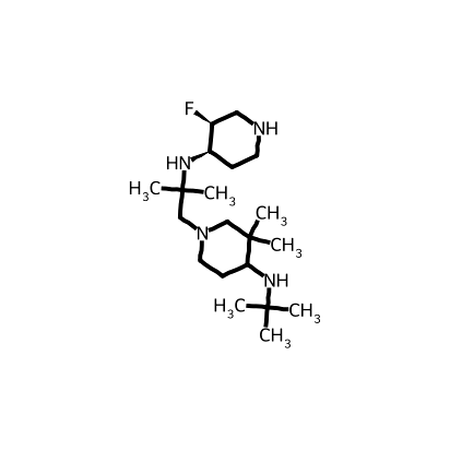 CC(C)(C)NC1CCN(CC(C)(C)N[C@@H]2CCNC[C@@H]2F)CC1(C)C